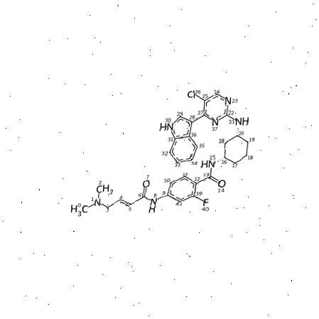 CN(C)C/C=C/C(=O)Nc1ccc(C(=O)N[C@H]2CCC[C@@H](Nc3ncc(Cl)c(-c4c[nH]c5ccccc45)n3)C2)c(F)c1